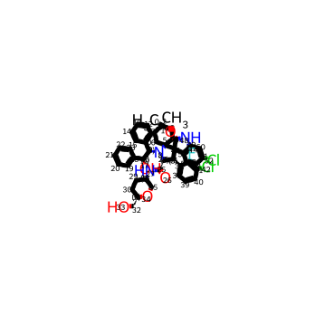 CC1(C)CCC2(CC1)N([C@H](c1ccccc1)[C@@H](O)c1ccccc1)[C@@H](C(=O)N[C@@H]1CC[C@@H](CO)OC1)[C@H](c1cccc(Cl)c1F)C21C(=O)Nc2cc(Cl)ccc21